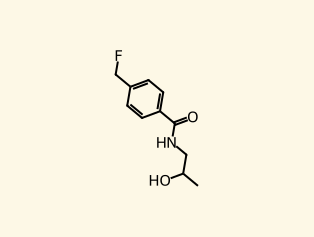 CC(O)CNC(=O)c1ccc(CF)cc1